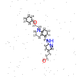 O=CCCc1ccc(NCc2cccc3c2CCCN3CCOc2ccccc2)nc1